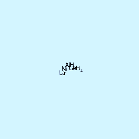 [AlH3].[GeH4].[La].[Ni]